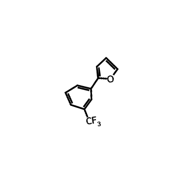 FC(F)(F)c1cccc(-c2ccco2)c1